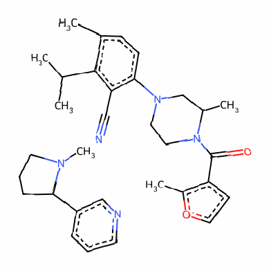 CN1CCCC1c1cccnc1.Cc1ccc(N2CCN(C(=O)c3ccoc3C)C(C)C2)c(C#N)c1C(C)C